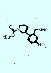 CSCc1cc([N+](=O)[O-])ccc1C1=CCCN(C(=O)OC(C)(C)C)C1